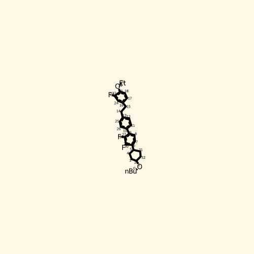 CCCCOC1CCC(c2ccc(-c3ccc(CCc4ccc(OCC)c(F)c4)cc3)c(F)c2F)CC1